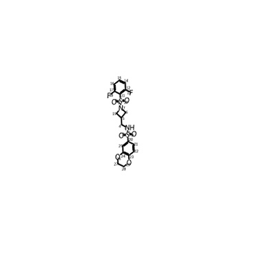 O=S(=O)(NCC1CN(S(=O)(=O)c2c(F)cccc2F)C1)c1ccc2c(c1)OCCO2